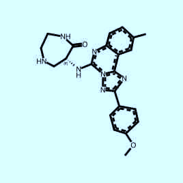 COc1ccc(-c2nc3c4cc(C)ccc4nc(N[C@@H]4CNCCNC4=O)n3n2)cc1